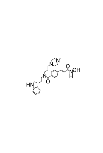 CN1CCN(CCCN(CCC2CNc3ccccc32)C(=O)c2ccc(/C=C/C(=O)NO)cc2)CC1